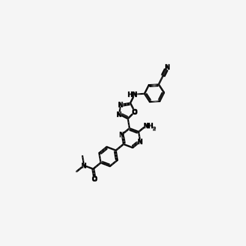 CN(C)C(=O)c1ccc(-c2cnc(N)c(-c3nnc(Nc4cccc(C#N)c4)o3)n2)cc1